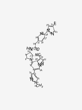 Cn1cc(-c2cc(N3CC[C@H](NC(=O)Cc4ccc(-n5cc(F)cn5)nc4)C3)c3c(C#N)cnn3c2)cn1